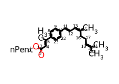 CCCCCOC(=O)C=C(C)c1ccc(C=CC=C(C)CCC=C(C)C)cc1